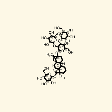 C=C1C[C@]23CC[C@H]4C(C)(C(=O)O[C@@H]5O[C@H](CO)[C@@H](O)[C@H](O)[C@H]5O)CCC[C@]4(C)[C@H]2CC[C@]1(O[C@@H]1O[C@H](CO)[C@@H](O)[C@H](O[C@@H]2O[C@H](CO)[C@@H](O)[C@H](O)[C@H]2O)[C@H]1O[C@@H]1O[C@H](CO)[C@@H](O)[C@H](O)[C@H]1O)C3